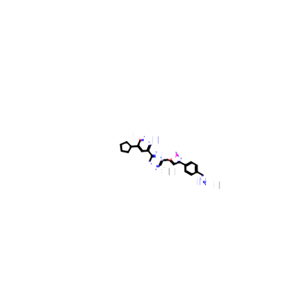 CNCc1ccc(-c2cc(-c3nc(-c4c[nH]c(=O)c(C5CCCC5)c4)cnc3C)on2)cc1